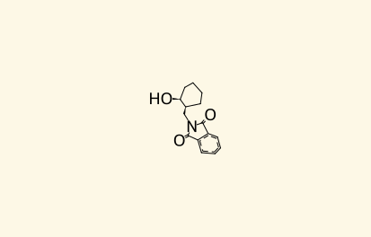 O=C1c2ccccc2C(=O)N1C[C@@H]1CCCC[C@@H]1O